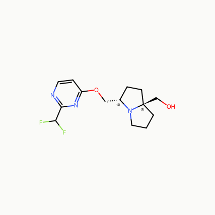 OC[C@@]12CCCN1[C@H](COc1ccnc(C(F)F)n1)CC2